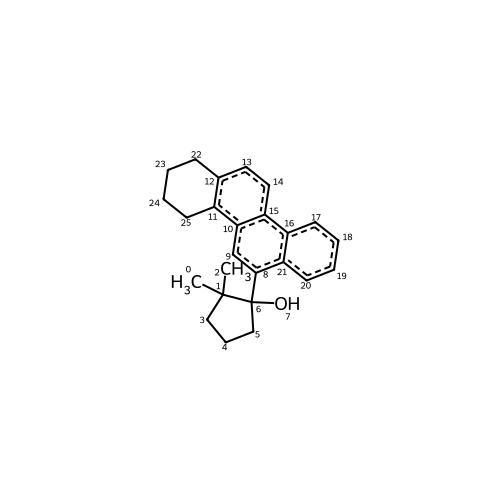 CC1(C)CCCC1(O)c1cc2c3c(ccc2c2ccccc12)CCCC3